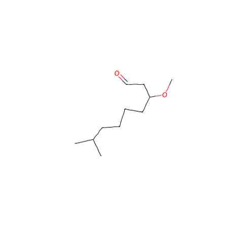 COC(CC=O)CCCCC(C)C